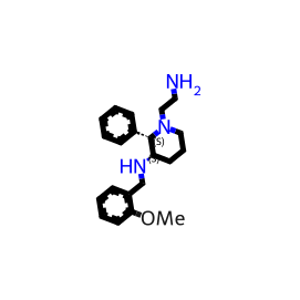 COc1ccccc1CN[C@H]1CCCN(CCN)[C@H]1c1ccccc1